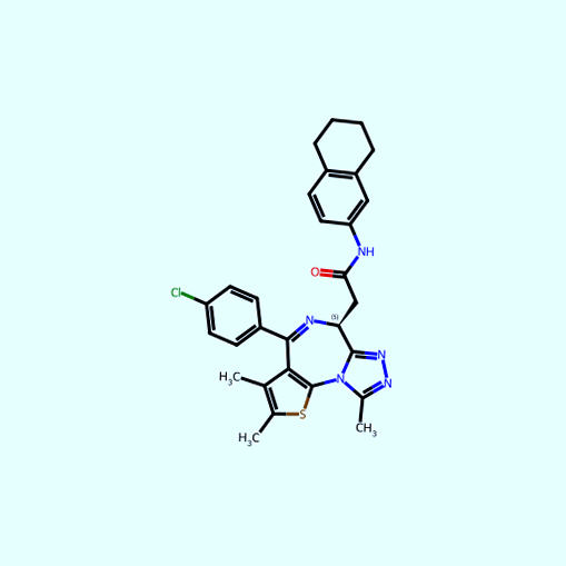 Cc1sc2c(c1C)C(c1ccc(Cl)cc1)=N[C@@H](CC(=O)Nc1ccc3c(c1)CCCC3)c1nnc(C)n1-2